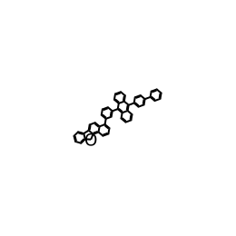 c1ccc(-c2ccc(-c3c4ccccc4c(-c4cccc(-c5cccc6c5ccc5c7ccccc7oc65)c4)c4ccccc34)cc2)cc1